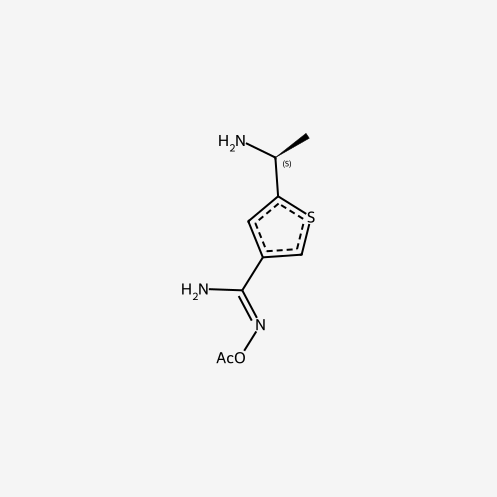 CC(=O)ON=C(N)c1csc([C@H](C)N)c1